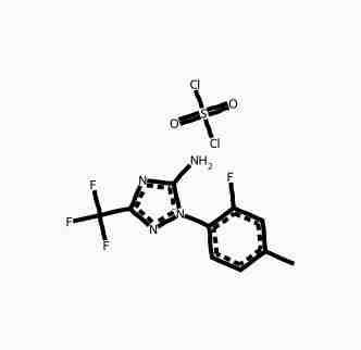 Cc1ccc(-n2nc(C(F)(F)F)nc2N)c(F)c1.O=S(=O)(Cl)Cl